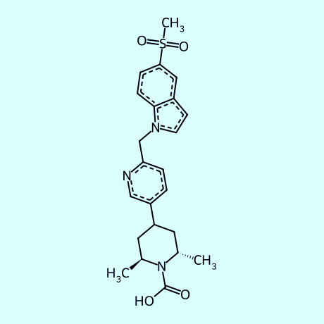 C[C@H]1CC(c2ccc(Cn3ccc4cc(S(C)(=O)=O)ccc43)nc2)C[C@H](C)N1C(=O)O